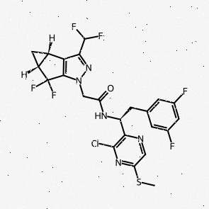 CSc1cnc([C@H](Cc2cc(F)cc(F)c2)NC(=O)Cn2nc(C(F)F)c3c2C(F)(F)[C@@H]2C[C@H]32)c(Cl)n1